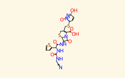 N#CCNC(=O)NC(C(=O)N[C@H]1C(=O)N2C(C(=O)O)=C(CSc3ccc(O)n[n+]3[O-])CSC12)c1cccs1